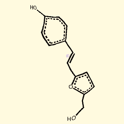 OCc1ccc(/C=C/c2ccc(O)cc2)o1